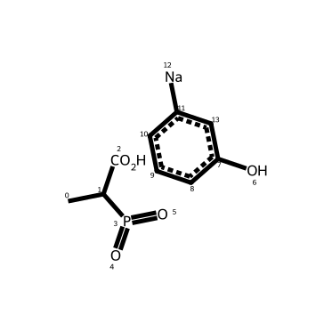 CC(C(=O)O)P(=O)=O.Oc1ccc[c]([Na])c1